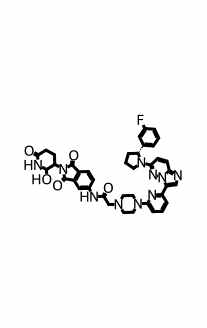 O=C(CN1CCN(c2cccc(-c3cnc4ccc(N5CCC[C@@H]5c5cccc(F)c5)nn34)n2)CC1)Nc1ccc2c(c1)C(=O)N(C1CCC(=O)NC1O)C2=O